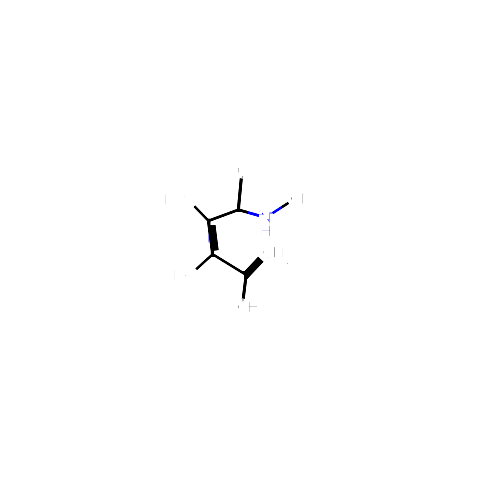 C=C(C)/C(C)=C(/C)C(C)NC